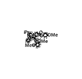 COc1ccc(OC(=O)N2CCN(c3cc(C(C)C)nc(-n4ccnc4)n3)C(C(=O)NCc3c(OC)cccc3OC)C2)cc1